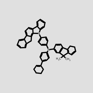 CC1(C)C2=C(CCC=C2)c2ccc(N(c3ccc(C4=CCCCC4)cc3)c3ccc(-n4c5ccccc5c5ccc6c(c54)Cc4ccccc4-6)cc3)cc21